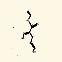 C=COC(=O)C(=CC)CC=CO